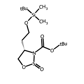 CC(C)(C)OC(=O)N1[C@@H](CCO[Si](C)(C)C(C)(C)C)COS1=O